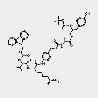 CC(CC(Cc1ccc(O)cc1)NC(=O)OC(C)(C)C)C(=O)NNC(=O)OCc1ccc(NC(=O)C(CCCCC(N)=O)NC(=O)C(NC(=O)OCC2c3ccccc3-c3ccccc32)C(C)C)cc1